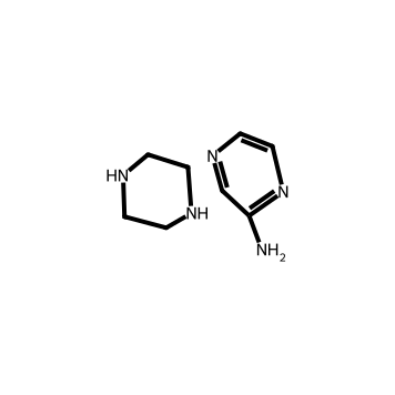 C1CNCCN1.Nc1cnccn1